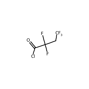 O=C(Cl)C(F)(F)CC(F)(F)F